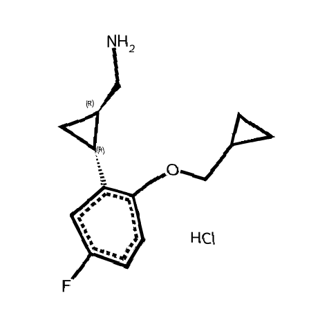 Cl.NC[C@@H]1C[C@H]1c1cc(F)ccc1OCC1CC1